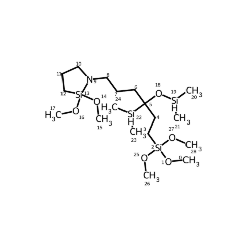 CO[Si](CCC(CCCN1CCC[Si]1(OC)OC)(O[SiH](C)C)[SiH](C)C)(OC)OC